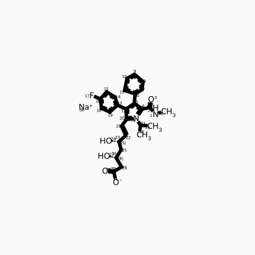 CNC(=O)c1c(-c2ccccc2)c(-c2ccc(F)cc2)c(C=C[C@@H](O)C[C@@H](O)CC(=O)[O-])n1C(C)C.[Na+]